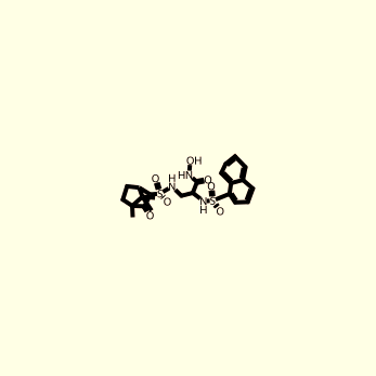 CC12CCC(C(S(=O)(=O)NCC(NS(=O)(=O)c3cccc4ccccc34)C(=O)NO)C1=O)C2(C)C